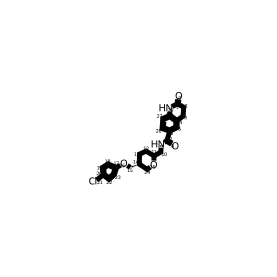 O=C1CCc2cc(C(=O)NCC3CC[C@@H](COc4ccc(Cl)cc4)CO3)ccc2N1